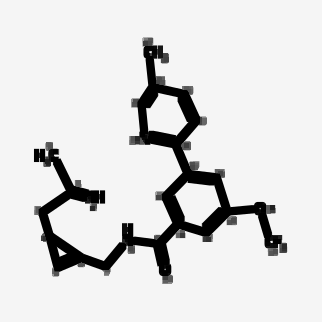 CC(=N)CC1C=C1CNC(=O)c1cc(OC(F)(F)F)cc(-c2ccc(C)cn2)c1